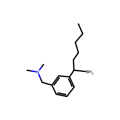 BC(CCCCC)c1cccc(CN(C)C)c1